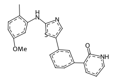 COc1ccc(C)c(Nc2ncc(-c3cccc(-c4ccc[nH]c4=O)c3)s2)c1